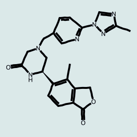 Cc1ncn(-c2ccc(CN3CC(=O)N[C@H](c4ccc5c(c4C)COC5=O)C3)cn2)n1